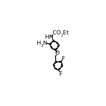 CCOC(=O)Nc1ccc(OCc2ccc(F)cc2F)cc1N